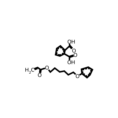 C=CC(=O)OCCCCCCOc1ccccc1.O=C(O)c1ccccc1C(=O)O